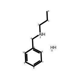 CC[CH2][AlH][CH2]c1ccccc1.[HH]